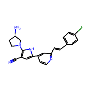 N#Cc1cc(-c2ccnc(/C=C/c3ccc(F)cc3)c2)[nH]c1N1CC[C@@H](N)C1